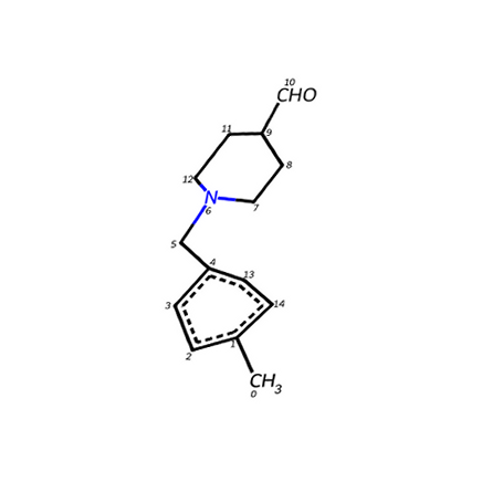 Cc1ccc(CN2CCC(C=O)CC2)cc1